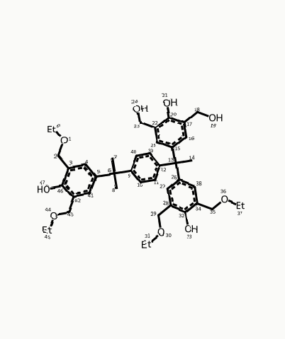 CCOCc1cc(C(C)(C)c2ccc(C(C)(c3cc(CO)c(O)c(CO)c3)c3cc(COCC)c(O)c(COCC)c3)cc2)cc(COCC)c1O